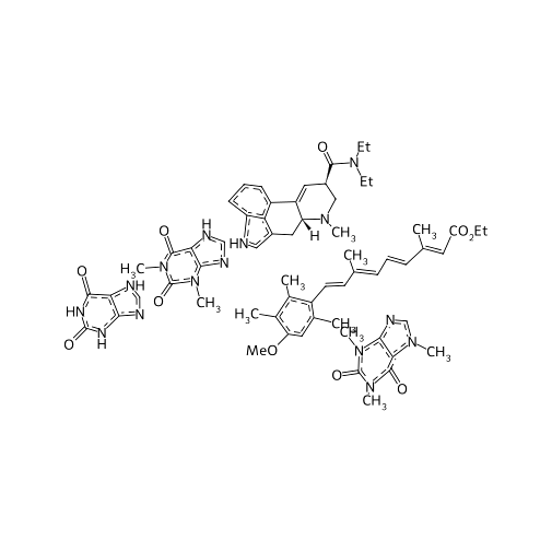 CCN(CC)C(=O)[C@@H]1C=C2c3cccc4[nH]cc(c34)C[C@H]2N(C)C1.CCOC(=O)/C=C(C)/C=C/C=C(C)/C=C/c1c(C)cc(OC)c(C)c1C.Cn1c(=O)c2[nH]cnc2n(C)c1=O.Cn1c(=O)c2c(ncn2C)n(C)c1=O.O=c1[nH]c(=O)c2[nH]cnc2[nH]1